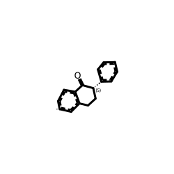 O=C1c2cc[c]cc2CC[C@H]1c1ccccc1